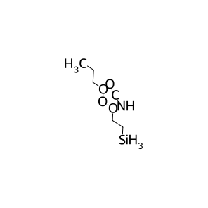 CCCOOOCC[SiH3].N=C=O